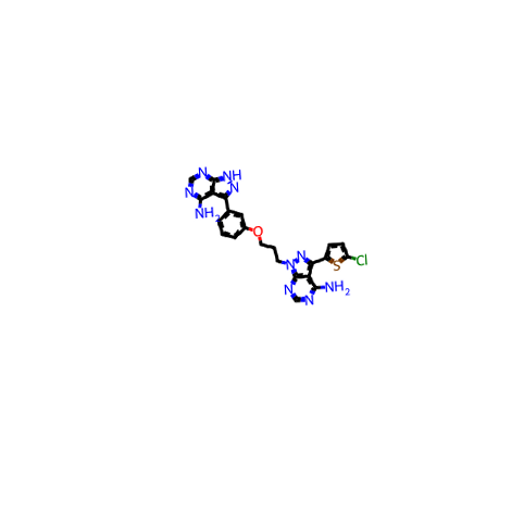 Nc1ncnc2[nH]nc(-c3cccc(OCCCn4nc(-c5ccc(Cl)s5)c5c(N)ncnc54)c3)c12